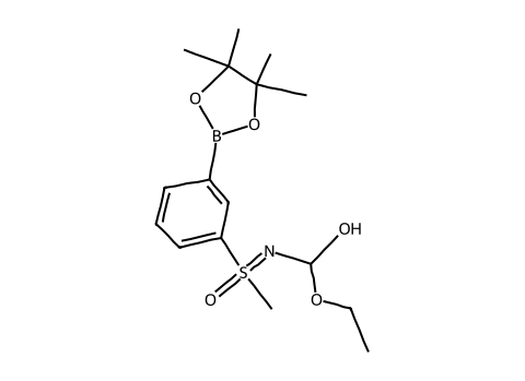 CCOC(O)N=S(C)(=O)c1cccc(B2OC(C)(C)C(C)(C)O2)c1